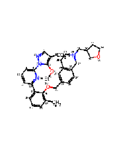 CCOc1c(C(=O)O)cnn1-c1cccc(-c2cccc(C)c2OCc2ccc3c(c2)CCN(CC2CCOC2)C3)n1